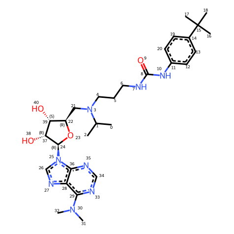 CC(C)N(CCCNC(=O)Nc1ccc(C(C)(C)C)cc1)C[C@H]1O[C@@H](n2cnc3c(N(C)C)ncnc32)[C@H](O)[C@@H]1O